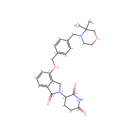 BC1(B)COCCN1Cc1ccc(COc2cccc3c2CN(C2CCC(=O)NC2=O)C3=O)cc1